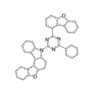 c1ccc(-c2nc(-c3cccc4oc5ccccc5c34)nc(-n3c4ccccc4c4c5c(ccc43)oc3ccccc35)n2)cc1